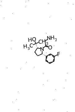 CC(C)(O)[C@H]1CC[C@@H](c2cccc(F)c2)N1C(=O)CN